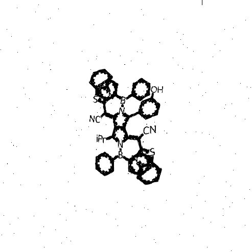 CC(C)c1c2/c(=C(\C#N)c3nc4ccccc4s3)n(B(c3ccccc3)c3ccccc3)c(-c3cccc(O)c3)c2/c(=C(\C#N)c2nc3ccccc3s2)n1B(c1ccccc1)c1ccccc1